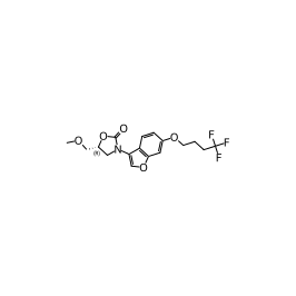 COC[C@H]1CN(c2coc3cc(OCCCC(F)(F)F)ccc23)C(=O)O1